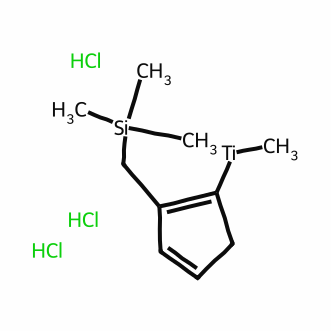 Cl.Cl.Cl.[CH3][Ti][C]1=C(C[Si](C)(C)C)C=CC1